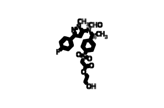 C[C@H](c1ccc(S(=O)(=O)CC(=O)OCCO)cc1)N(C=O)c1cc(-c2ccc(F)cc2)nn1C